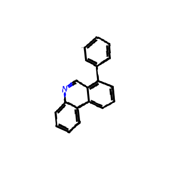 [c]1cccc(-c2cccc3c2cnc2ccccc23)c1